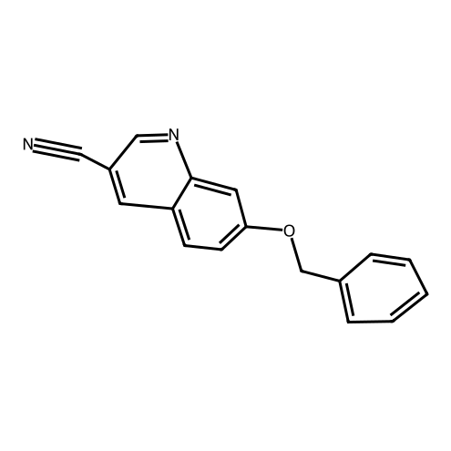 N#Cc1cnc2cc(OCc3ccccc3)ccc2c1